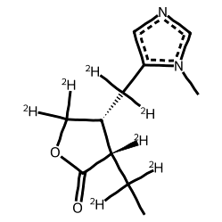 [2H]C1([2H])OC(=O)[C@@]([2H])(C([2H])([2H])C)[C@H]1C([2H])([2H])c1cncn1C